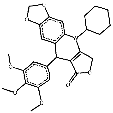 COc1cc(C2C3=C(COC3=O)N(C3CCCCC3)c3cc4c(cc32)OCO4)cc(OC)c1OC